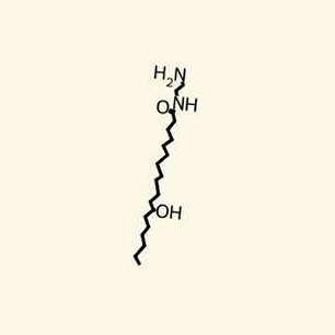 CCCCCCC(O)CCCCCCCCCCC(=O)NCCN